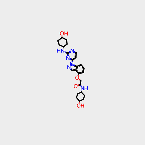 O=C(COc1cccc2c1cnn2-c1ccnc(N[C@H]2CC[C@H](O)CC2)n1)N[C@H]1CC[C@H](O)CC1